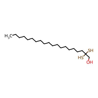 CCCCCCCCCCCCCCCCCCC(S)(S)CO